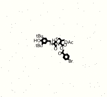 CC(=O)OCC1=C(C(=O)OCC(=O)c2ccc(Br)cc2)N2C(=O)[C@@H](N=Cc3cc(C(C)(C)C)c(O)c(C(C)(C)C)c3)[C@@H]2SC1